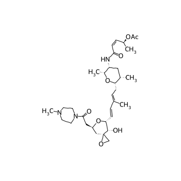 CC(=O)O[C@@H](C)/C=C\C(=O)N[C@@H]1C[C@H](C)[C@H](C/C=C(C)/C=C/[C@H]2O[C@H](CC(=O)N3CCN(C)CC3)C[C@@]3(CO3)[C@H]2O)O[C@@H]1C